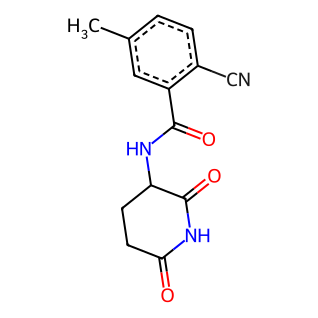 Cc1ccc(C#N)c(C(=O)NC2CCC(=O)NC2=O)c1